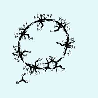 CCC(O)OS(=O)(=O)O.OC[C@H]1O[C@@H]2O[C@H]3[C@H](O)[C@@H](O)[C@@H](O[C@H]4[C@H](O)[C@@H](O)[C@@H](O[C@H]5[C@H](O)[C@@H](O)[C@@H](O[C@H]6[C@H](O)[C@@H](O)[C@@H](O[C@H]7[C@H](O)[C@@H](O)[C@@H](O[C@H]8[C@H](O)[C@@H](O)[C@@H](O[C@H]1[C@H](O)[C@H]2O)O[C@@H]8CO)O[C@@H]7CO)O[C@@H]6CO)O[C@@H]5CO)O[C@@H]4CO)O[C@@H]3CO